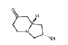 CC[C@H]1C[C@H]2CC(=O)CCN2C1